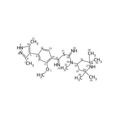 COc1cc(-c2c(C)n[nH]c2C)ccc1C(=N)SC(=N)N(C)C1CC(C)(C)NC(C)(C)C1